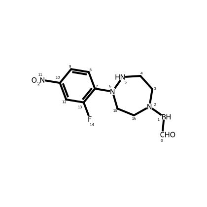 O=CBN1CCNN(c2ccc([N+](=O)[O-])cc2F)CC1